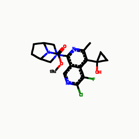 Cc1nc(N2CC3CCC(C2)N3C(=O)OC(C)(C)C)c2cnc(Cl)c(F)c2c1C1(O)CC1